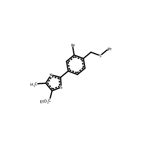 CCOC(=O)c1sc(-c2ccc(CSC(C)C)c(Br)c2)nc1C